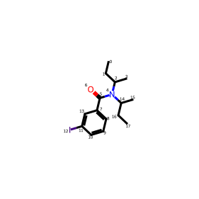 CCC(C)N(C(=O)c1cccc(I)c1)C(C)CC